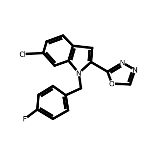 Fc1ccc(Cn2c(-c3nnco3)cc3ccc(Cl)cc32)cc1